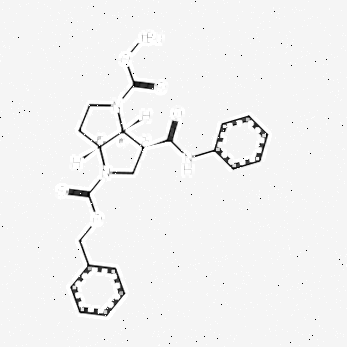 CC(C)(C)OC(=O)N1CC[C@@H]2[C@H]1[C@@H](C(=O)Nc1ccccc1)CN2C(=O)OCc1ccccc1